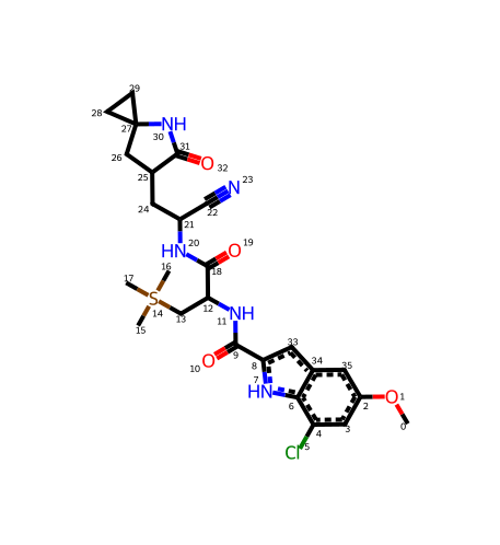 COc1cc(Cl)c2[nH]c(C(=O)NC(CS(C)(C)C)C(=O)NC(C#N)CC3CC4(CC4)NC3=O)cc2c1